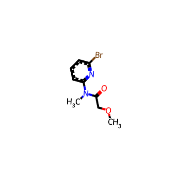 COCC(=O)N(C)c1cccc(Br)n1